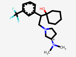 CN(C)[C@@H]1CCN(CC(c2cccc(C(F)(F)F)c2)C2(O)CCCCC2)C1